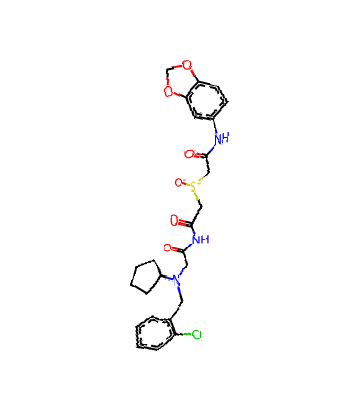 O=C(CN(Cc1ccccc1Cl)C1CCCC1)NC(=O)C[S+]([O-])CC(=O)Nc1ccc2c(c1)OCO2